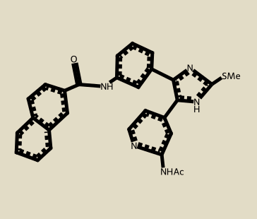 CSc1nc(-c2cccc(NC(=O)c3ccc4ccccc4c3)c2)c(-c2ccnc(NC(C)=O)c2)[nH]1